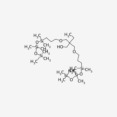 CCC(CO)(COCCC[Si](C)(C)O[Si](C)(C)O[Si](C)(C)C)COCCC[Si](C)(C)O[Si](C)(C)O[Si](C)(C)C